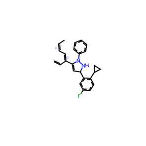 C=C/C(=C\C=C/C)C1=CC(c2cc(F)ccc2C2CC2)NN1c1ccccc1